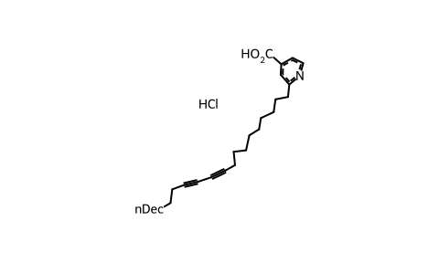 CCCCCCCCCCCCC#CC#CCCCCCCCCCc1cc(C(=O)O)ccn1.Cl